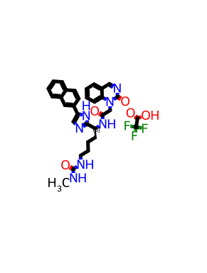 CNC(=O)NCCCC[C@H](NC(=O)Cn1c(=O)ncc2ccccc21)c1ncc(-c2ccc3ccccc3c2)[nH]1.O=C(O)C(F)(F)F